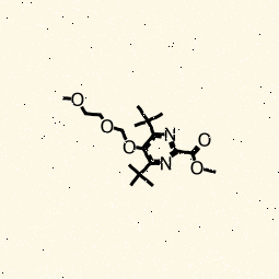 COCCOCOc1c(C(C)(C)C)nc(C(=O)OC)nc1C(C)(C)C